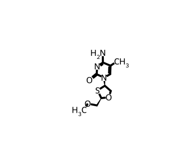 COC[C@@H]1OC[C@H](n2cc(C)c(N)nc2=O)S1